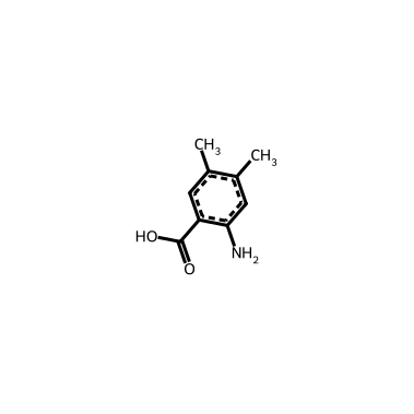 Cc1cc(N)c(C(=O)O)cc1C